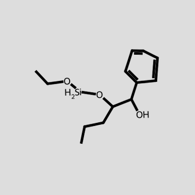 CCCC(O[SiH2]OCC)C(O)c1ccccc1